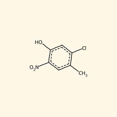 Cc1cc([N+](=O)[O-])c(O)cc1Cl